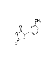 Cc1cccc(C2=CC(=O)OC2=O)c1